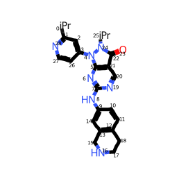 CC(C)c1cc(-n2c3nc(Nc4ccc5c(c4)CNCC5)ncc3c(=O)n2C(C)C)ccn1